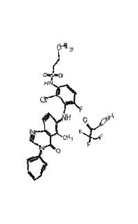 CCCS(=O)(=O)Nc1ccc(F)c(Nc2ccc3ncn(-c4ccccc4)c(=O)c3c2C)c1Cl.O=C(O)C(F)(F)F